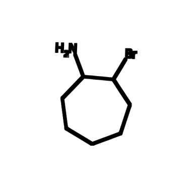 NC1CCCCCC1Br